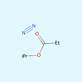 CCC(=O)OC(C)C.N#N